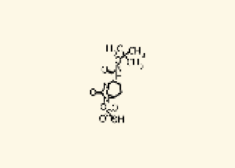 CC(C)(C)ONC(=O)[C@@H]1CCC2CN1C(=O)N2OS(=O)(=O)O